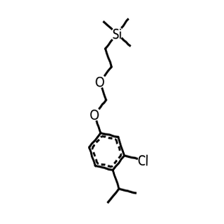 CC(C)c1ccc(OCOCC[Si](C)(C)C)cc1Cl